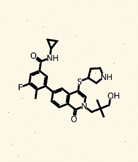 Cc1c(F)cc(C(=O)NC2CC2)cc1-c1ccc2c(=O)n(CC(C)(C)CO)cc(SC3CCNC3)c2c1